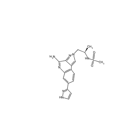 C[C@H](Cn1cc2c(n1)c(N)nc1cc(-c3cc[nH]n3)ccc12)NS(C)(=O)=O